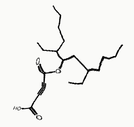 CCCCC(CC)CC(OC(=O)C#CC(=O)O)C(CC)CCCC